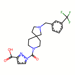 O=C(O)c1ccn(C(=O)N2CCC3(CCN(Cc4cccc(C(F)(F)F)c4)C3)CC2)n1